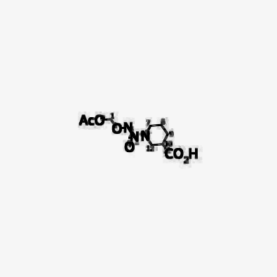 CC(=O)OCON=[N+]([O-])N1CCCC(C(=O)O)C1